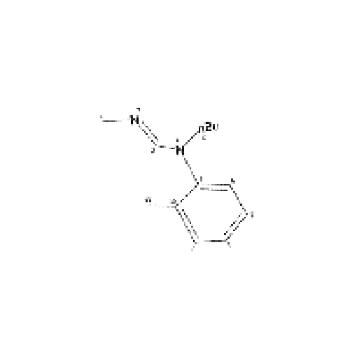 CCCCN(C=NC)c1ccccc1C